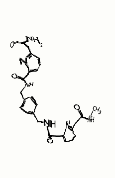 CNC(=O)c1cccc(C(=O)NCc2ccc(CNC(=O)c3cccc(C(N)=O)n3)cc2)n1